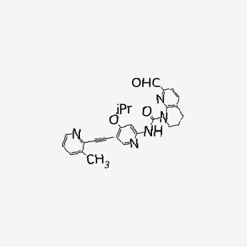 Cc1cccnc1C#Cc1cnc(NC(=O)N2CCCc3ccc(C=O)nc32)cc1OC(C)C